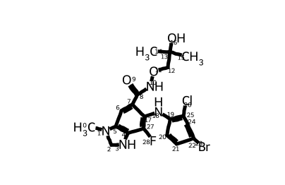 CN1CNc2c1cc(C(=O)NOCC(C)(C)O)c(Nc1ccc(Br)cc1Cl)c2F